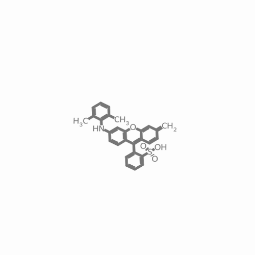 C=c1ccc2c(c1)Oc1cc(Nc3c(C)cccc3C)ccc1C=2c1ccccc1S(=O)(=O)O